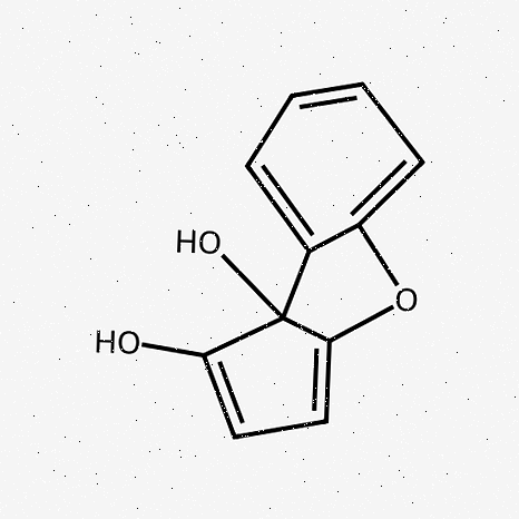 OC1=CC=C2Oc3ccccc3C12O